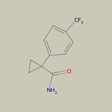 NC(=O)C1(c2ccc(C(F)(F)F)cc2)CC1